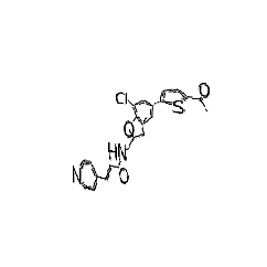 CC(=O)c1ccc(-c2cc(Cl)c3c(c2)CC(CNC(=O)/C=C/c2ccncc2)O3)s1